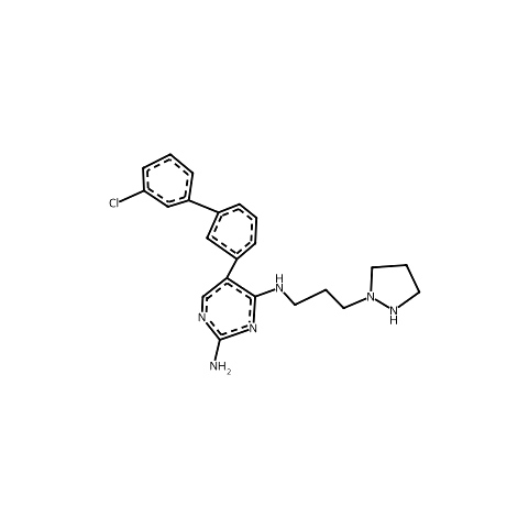 Nc1ncc(-c2cccc(-c3cccc(Cl)c3)c2)c(NCCCN2CCCN2)n1